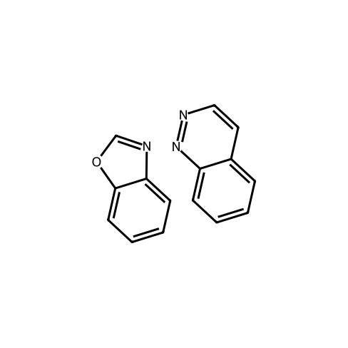 c1ccc2nnccc2c1.c1ccc2ocnc2c1